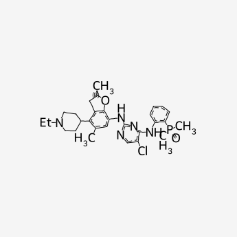 CCN1CCC(c2c(C)cc(Nc3ncc(Cl)c(Nc4ccccc4P(C)(C)=O)n3)c3c2C[C@@H](C)O3)CC1